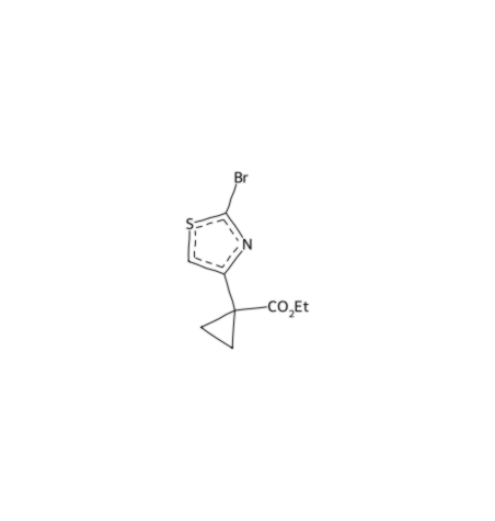 CCOC(=O)C1(c2csc(Br)n2)CC1